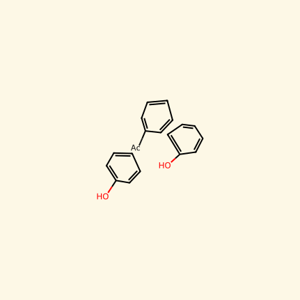 CC(=O)c1ccccc1.Oc1ccccc1.Oc1ccccc1